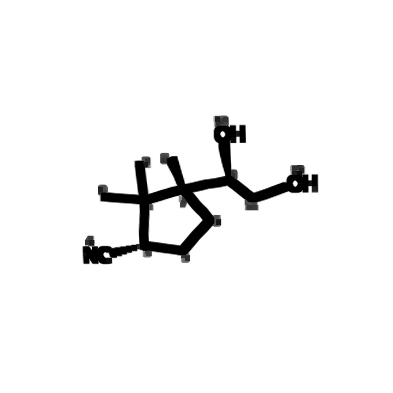 CC1(C)[C@@H](C#N)CC[C@@]1(C)[C@@H](O)CO